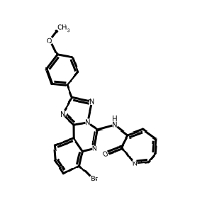 COc1ccc(-c2nc3c4cccc(Br)c4nc(Nc4ccccnc4=O)n3n2)cc1